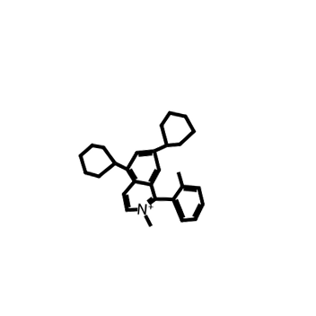 Cc1ccccc1-c1c2cc(C3CCCCC3)cc(C3CCCCC3)c2cc[n+]1C